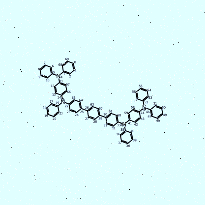 c1ccc(N(c2ccccc2)c2ccc(N(c3ccccc3)c3ccc(-c4ccc(-c5ccc(N(c6ccccc6)c6ccc(N(c7ccccc7)c7ccccc7)cc6)cc5)cc4)cc3)cc2)cc1